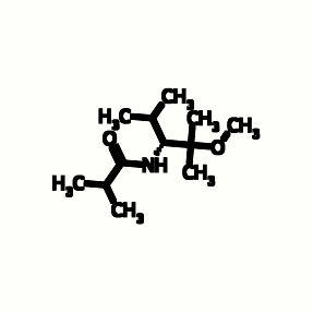 COC(C)(C)[C@H](NC(=O)C(C)C)C(C)C